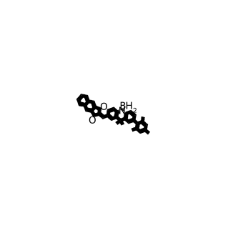 BN1c2ccc(C=C3C(=O)c4cc5ccccc5cc4C3=O)cc2C(C)(C)c2cc(-c3c(C)cc(C)cc3C)ccc21